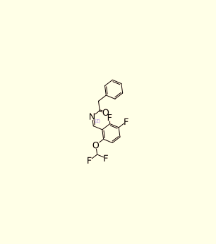 O=C(Cc1ccccc1)/N=C\c1c(OC(F)F)ccc(F)c1F